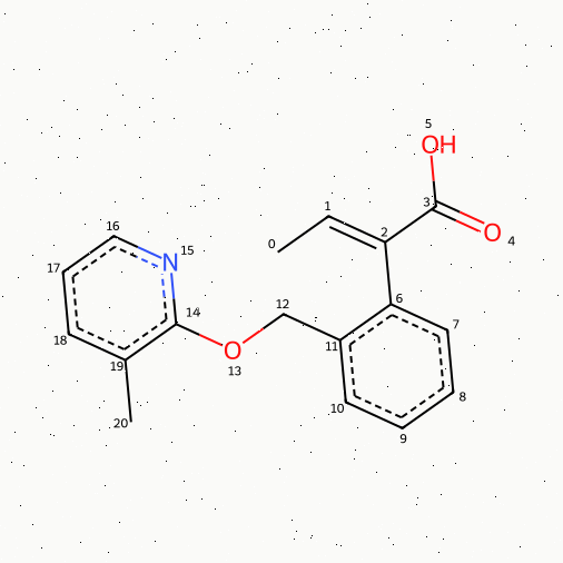 C/C=C(/C(=O)O)c1ccccc1COc1ncccc1C